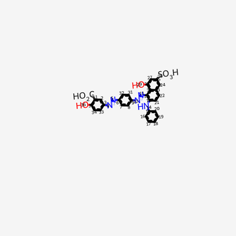 O=C(O)c1cc(/N=N/c2ccc(/N=N/c3c(Nc4ccccc4)ccc4cc(S(=O)(=O)O)cc(O)c34)cc2)ccc1O